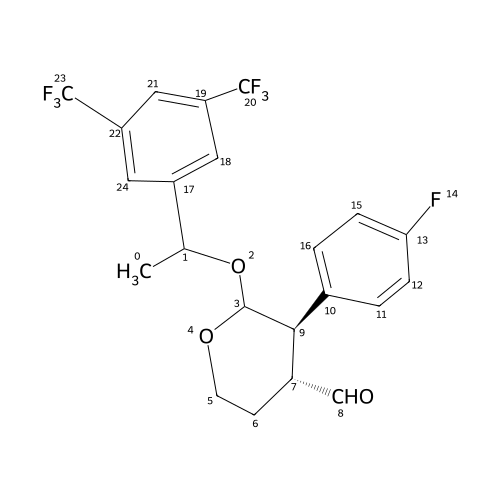 CC(OC1OCC[C@@H](C=O)[C@@H]1c1ccc(F)cc1)c1cc(C(F)(F)F)cc(C(F)(F)F)c1